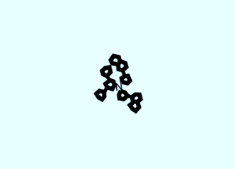 c1ccc(-c2cc(-c3ccccc3)cc(N(c3cccc(-c4ccc5ccccc5c4)c3)c3cccc(-c4cccc5ccccc45)c3)c2)cc1